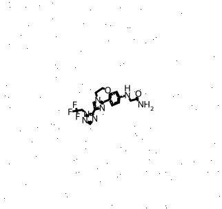 NC(=O)CNc1ccc2c(c1)OCCn1cc(-c3ncnn3CC(F)(F)F)nc1-2